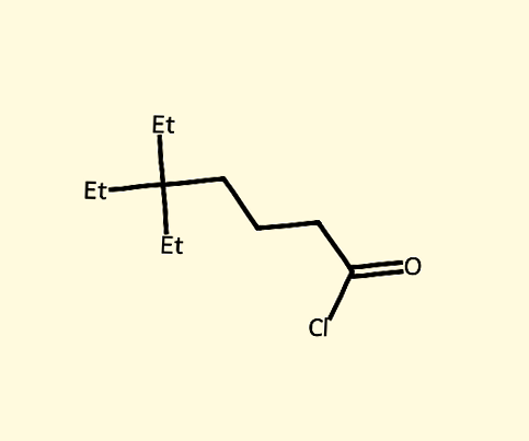 CCC(CC)(CC)CCCC(=O)Cl